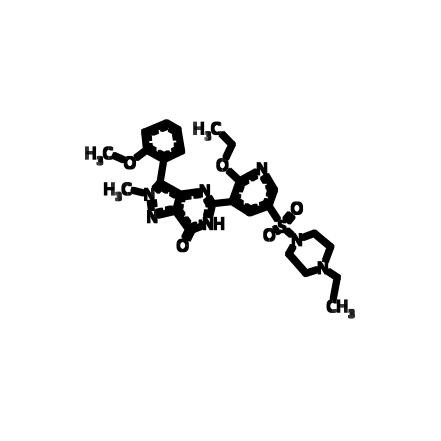 CCOc1ncc(S(=O)(=O)N2CCN(CC)CC2)cc1-c1nc2c(-c3ccccc3OC)n(C)nc2c(=O)[nH]1